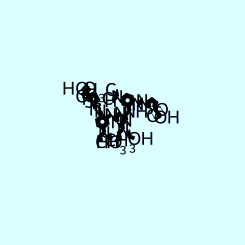 CCN(CC)c1ccc(/N=N/c2ccc(S(=O)(=O)O)s2)c(Nc2nc(Nc3cc(N(CC)CC)ccc3/N=N/c3ccc(S(=O)(=O)O)s3)nc(N(CCO)CCO)n2)c1